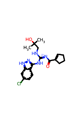 CC(C)(O)CN/C(=N/C(=O)C1=CCCC1)Nc1n[nH]c2cc(Cl)ccc12